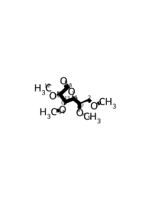 COC[C@@H](OC)[C@H]1OC(=O)[C@@H](OC)[C@H]1OC